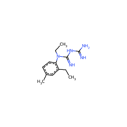 CCc1cc(C)ccc1N(CC)C(=N)NC(=N)N